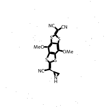 COc1c2c(c(OC)c3c1SC(=C(C#N)[C@H]1CN1)S3)SC(=C(C#N)C#N)S2